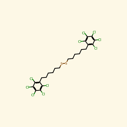 Clc1c(Cl)c(Cl)c(CCCCCCSSCCCCCCc2c(Cl)c(Cl)c(Cl)c(Cl)c2Cl)c(Cl)c1Cl